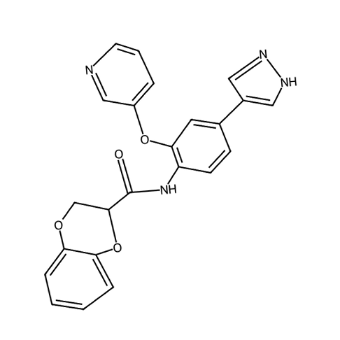 O=C(Nc1ccc(-c2cn[nH]c2)cc1Oc1cccnc1)C1COc2ccccc2O1